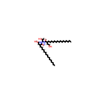 CCCCCCCCCCCCCCCCC(CCO)C(=O)NC(NC(=O)C(CCO)CCCCCCCCCCCCCCCC)C(C)O